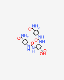 NC(=O)c1ccc(NC(=O)Nc2cc(NC(=O)Nc3ccc(C(N)=O)cc3)cc(C(=O)O)c2)cc1